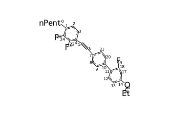 CCCCCc1ccc(C#Cc2ccc(-c3ccc(OCC)cc3F)cc2)c(F)c1F